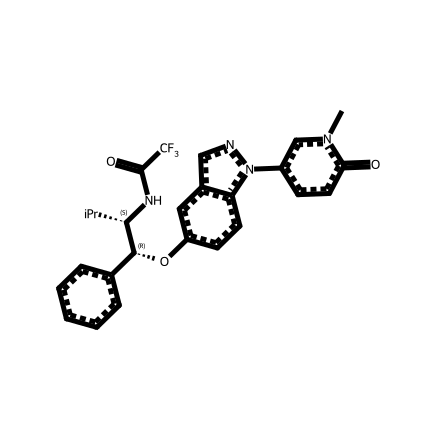 CC(C)[C@H](NC(=O)C(F)(F)F)[C@H](Oc1ccc2c(cnn2-c2ccc(=O)n(C)c2)c1)c1ccccc1